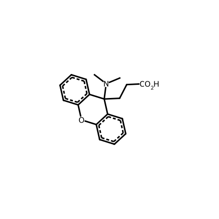 CN(C)C1(CCC(=O)O)c2ccccc2Oc2ccccc21